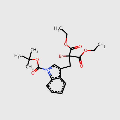 CCOC(=O)C(Br)(Cc1cn(C(=O)OC(C)(C)C)c2ccccc12)C(=O)OCC